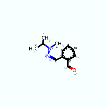 CC(C)N(C)/N=C\c1ccccc1C=O